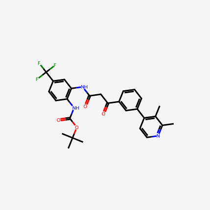 Cc1nccc(-c2cccc(C(=O)CC(=O)Nc3cc(C(F)(F)F)ccc3NC(=O)OC(C)(C)C)c2)c1C